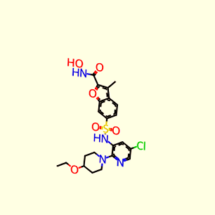 CCOC1CCN(c2ncc(Cl)cc2NS(=O)(=O)c2ccc3c(C)c(C(=O)NO)oc3c2)CC1